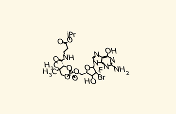 CC(C)OC(=O)CCNC(=O)[C@@H]1OP(=O)(OC[C@H]2O[C@@H](n3cnc4c(O)nc(N)nc43)[C@@](F)(Br)C2O)OCC1(C)C